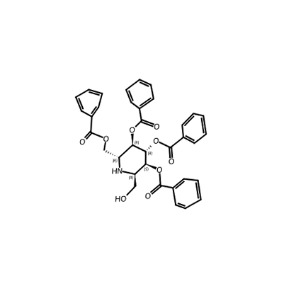 O=C(OC[C@H]1N[C@H](CO)[C@H](OC(=O)c2ccccc2)[C@@H](OC(=O)c2ccccc2)[C@@H]1OC(=O)c1ccccc1)c1ccccc1